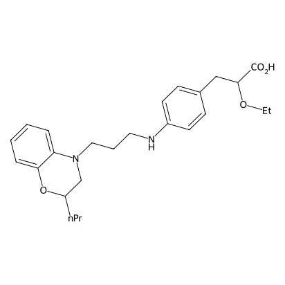 CCCC1CN(CCCNc2ccc(CC(OCC)C(=O)O)cc2)c2ccccc2O1